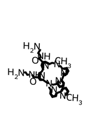 Cc1cccc(-c2cccc(CN3Cc4cccc(n4)-c4cccc(n4)CN(C)Cc4cc(C(=O)NCCN)cc(n4)-c4cc(C(=O)NCCN)cc(n4)C3)n2)n1